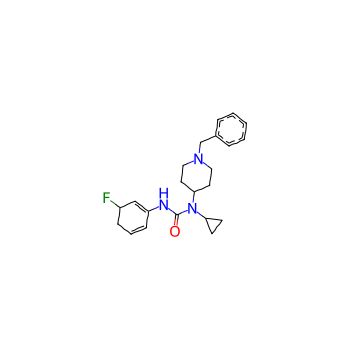 O=C(NC1=CC(F)CC=C1)N(C1CC1)C1CCN(Cc2ccccc2)CC1